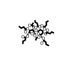 CCCC(=O)OC[C@H]1O[C@@](COC(C)=O)(O[C@H]2O[C@H](COC(=O)CCC)[C@@H](OC(=O)CCC)[C@H](OC(=O)CCC)[C@H]2OC(=O)CCC)[C@@H](OC(C)=O)[C@@H]1OC(=O)CCC